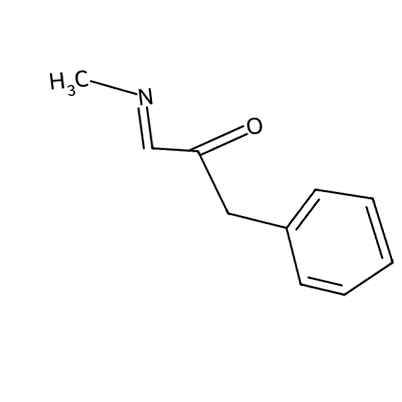 CN=CC(=O)Cc1ccccc1